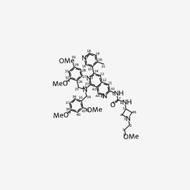 COCCN1CC(NC(=O)Nc2cc3cc(-c4cnccc4C)nc(N(Cc4ccc(OC)cc4OC)Cc4ccc(OC)cc4OC)c3cn2)C1